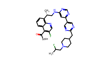 CNC(=O)c1c(F)cnc2c([C@H](C)CNc3cc(-c4cnc(CC5CCN(CC(C)F)CC5)nc4)ncn3)cccc12